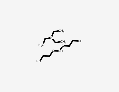 CCN(CC)CC.OCCONOCCO